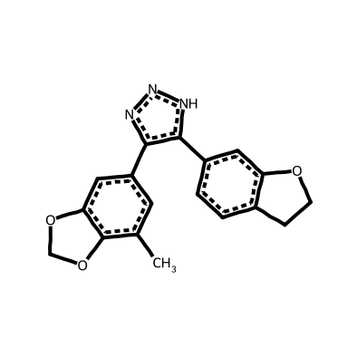 Cc1cc(-c2nn[nH]c2-c2ccc3c(c2)OCC3)cc2c1OCO2